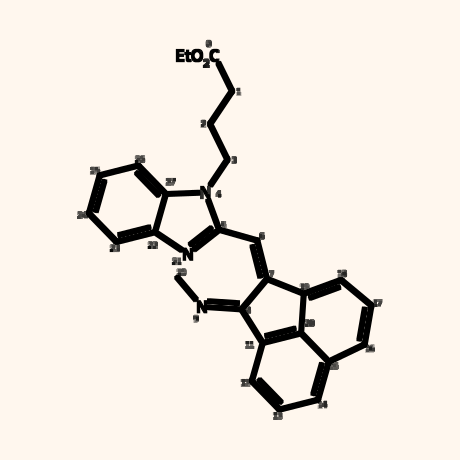 CCOC(=O)CCCn1c(/C=c2\c(=N/C)c3cccc4cccc2c43)nc2ccccc21